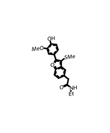 CCNC(=O)Cc1ccc2oc(-c3ccc(O)c(OC)c3)c(SC)c2c1